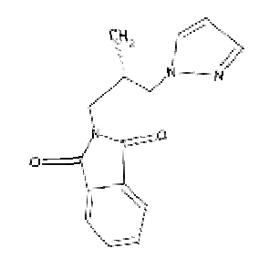 C[C@@H](CN1C(=O)c2ccccc2C1=O)Cn1cccn1